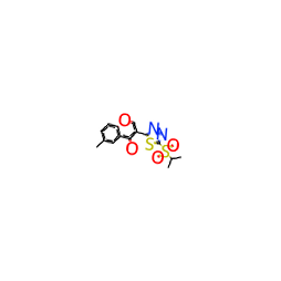 Cc1ccc2occ(-c3nnc(S(=O)(=O)C(C)C)s3)c(=O)c2c1